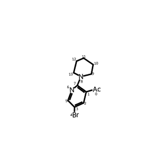 CC(=O)c1cc(Br)cnc1N1CCCCC1